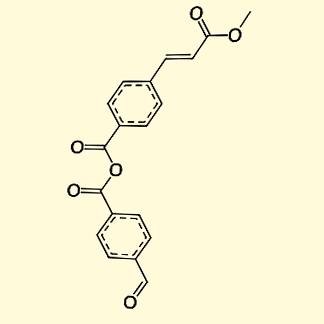 COC(=O)/C=C/c1ccc(C(=O)OC(=O)c2ccc(C=O)cc2)cc1